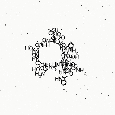 CC(=O)N[C@@H](Cc1c[nH]c2ccccc12)C(=O)N[C@H](CC(N)=O)C(=O)N[C@@H](CC(=O)O)C(=O)N[C@@H]1C(=O)NCC(=O)N[C@@H](CCCN)C(=O)N[C@@H](CC(=O)O)C(=O)N[C@H](C)C(=O)N[C@@H](CC(=O)O)C(=O)NCC(=O)N[C@H](COC(=O)OC(C)S)C(=O)N[C@@H]([C@@H](C)CC(=O)O)C(=O)N[C@@H](CC(=O)c2ccccc2N)C(=O)O[C@@H]1C